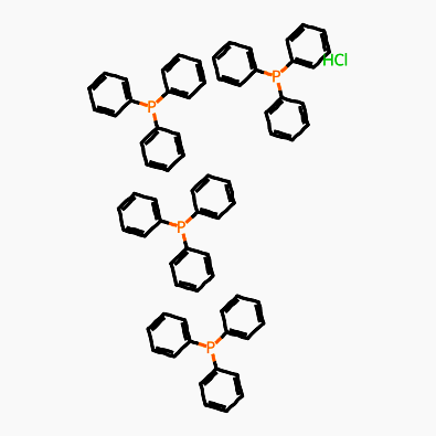 Cl.c1ccc(P(c2ccccc2)c2ccccc2)cc1.c1ccc(P(c2ccccc2)c2ccccc2)cc1.c1ccc(P(c2ccccc2)c2ccccc2)cc1.c1ccc(P(c2ccccc2)c2ccccc2)cc1